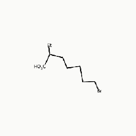 CCC(CCCCCBr)C(=O)O